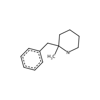 CC1(Cc2ccccc2)CCCC[N]1